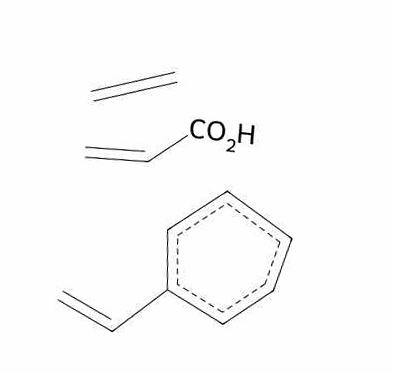 C=C.C=CC(=O)O.C=Cc1ccccc1